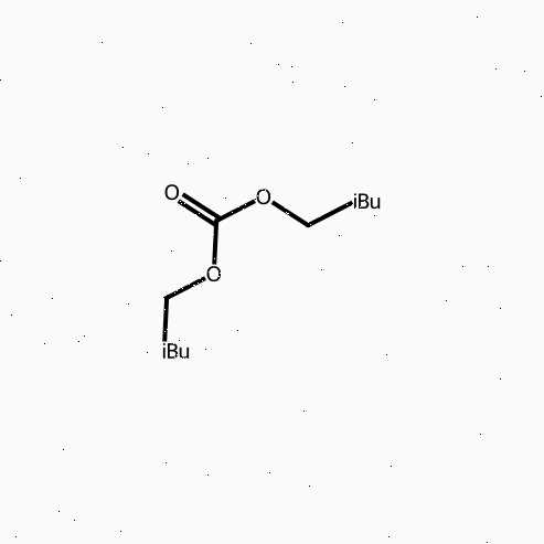 CCC(C)COC(=O)OCC(C)CC